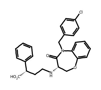 O=C(O)[C@@H](CCN[C@H]1COc2ccccc2N(Cc2ccc(Cl)cc2)C1=O)c1ccccc1